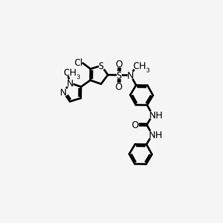 CN(c1ccc(NC(=O)Nc2ccccc2)cc1)S(=O)(=O)C1CC(c2ccnn2C)=C(Cl)S1